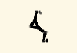 NC1OC1NO